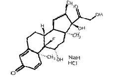 C[C@@H]1CC2[C@H]3CCC4=CC(=O)C=C[C@]4(C)[C@@]3(F)[C@@H](O)C[C@]2(C)[C@@]1(O)C(=O)CO.Cl.[NaH]